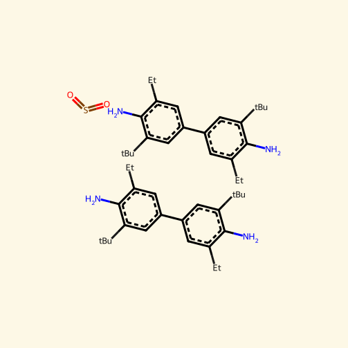 CCc1cc(-c2cc(CC)c(N)c(C(C)(C)C)c2)cc(C(C)(C)C)c1N.CCc1cc(-c2cc(CC)c(N)c(C(C)(C)C)c2)cc(C(C)(C)C)c1N.O=S=O